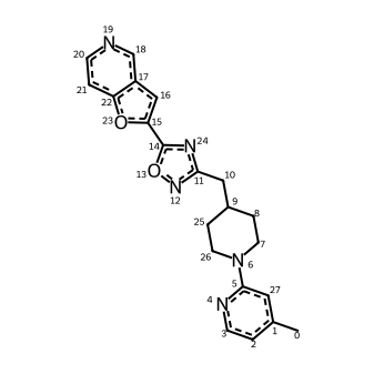 Cc1ccnc(N2CCC(Cc3noc(-c4cc5cnccc5o4)n3)CC2)c1